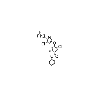 Cc1ccc(OC(=O)c2cc(Cl)c(Oc3cnc(C4CC(F)(F)C4)c(Cl)c3)cc2F)cc1